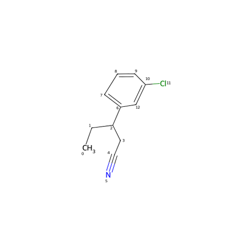 CCC(CC#N)c1cccc(Cl)c1